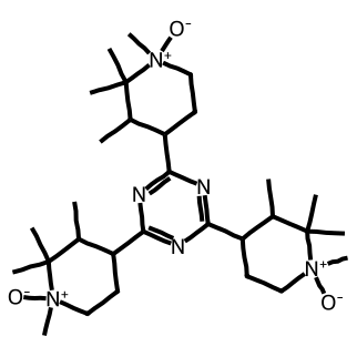 CC1C(c2nc(C3CC[N+](C)([O-])C(C)(C)C3C)nc(C3CC[N+](C)([O-])C(C)(C)C3C)n2)CC[N+](C)([O-])C1(C)C